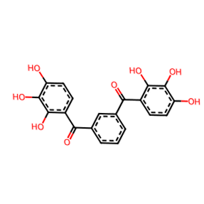 O=C(c1cccc(C(=O)c2ccc(O)c(O)c2O)c1)c1ccc(O)c(O)c1O